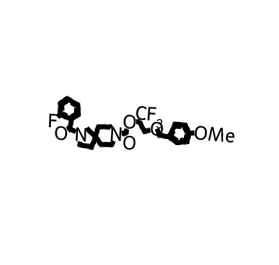 COc1ccc(COCC(OC(=O)N2CCC3(CC2)CCN(C(=O)c2ccccc2F)C3)C(F)(F)F)cc1